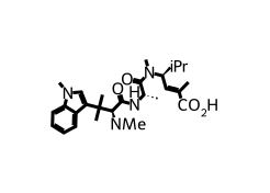 CN[C@H](C(=O)N[C@@H](C)C(=O)N(C)[C@H](/C=C(\C)C(=O)O)C(C)C)C(C)(C)c1cn(C)c2ccccc12